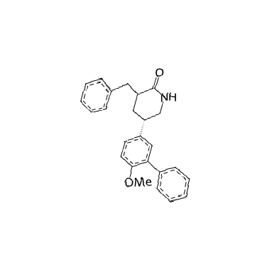 COc1ccc([C@H]2CNC(=O)C(Cc3ccccc3)C2)cc1-c1ccccc1